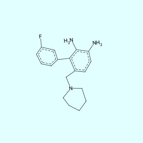 Nc1ccc(CN2CCCCC2)c(-c2cccc(F)c2)c1N